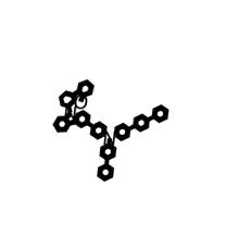 C1=c2c(oc3ccccc23)=C(n2c3ccccc3c3cc(-c4ccc(N(c5ccc(-c6ccccc6)cc5)c5ccc(-c6ccc(-c7ccccc7)cc6)cc5)cc4)ccc32)CC1